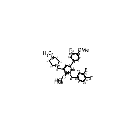 COc1ccc(-c2cc(CN3CCN(C)CC3)c(=O)n(Cc3ccc(F)c(F)c3)n2)cc1F.Cl.Cl